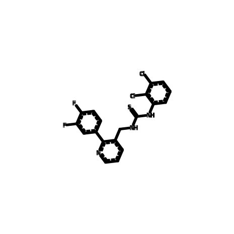 Fc1ccc(-c2ncccc2CNC(=S)Nc2cccc(Cl)c2Cl)cc1F